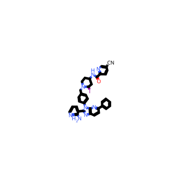 N#Cc1ccc(C(=O)NC2CCN(Cc3ccc(-n4c(-c5cccnc5N)nc5ccc(-c6ccccc6)nc54)cc3)C(I)C2)nc1